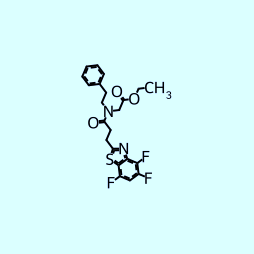 CCOC(=O)CN(CCc1ccccc1)C(=O)CCc1nc2c(F)c(F)cc(F)c2s1